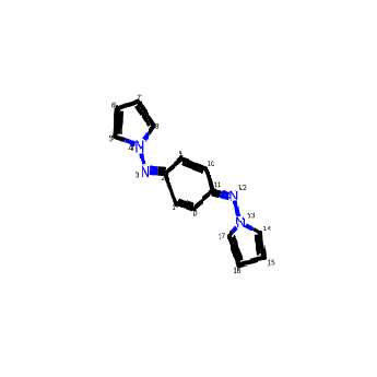 C1=CC(=Nn2cccc2)C=CC1=Nn1cccc1